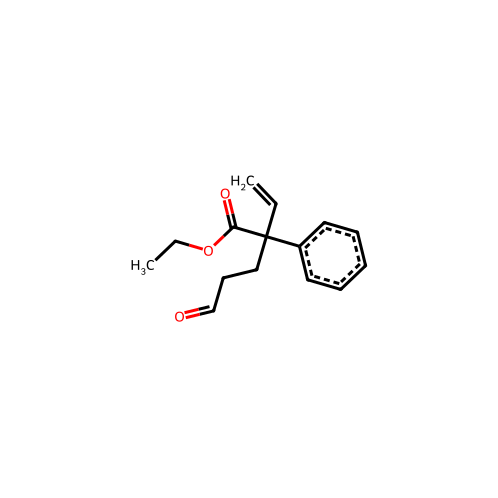 C=CC(CCC=O)(C(=O)OCC)c1ccccc1